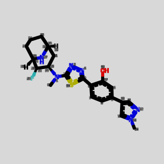 CN(c1nnc(-c2ccc(-c3cnn(C)c3)cc2O)s1)[C@@H]1C[C@H]2CCC[C@H](N2)[C@@H]1F